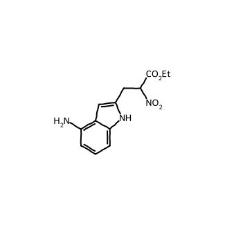 CCOC(=O)C(Cc1cc2c(N)cccc2[nH]1)[N+](=O)[O-]